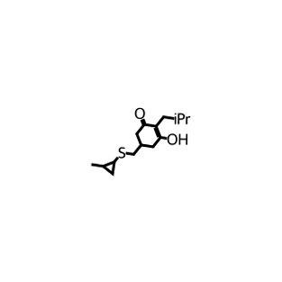 CC(C)CC1=C(O)CC(CSC2CC2C)CC1=O